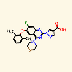 Cc1cccc(C)c1Oc1cc2c(N3CCSCC3)nc(-n3cc(C(=O)O)cn3)nc2cc1F